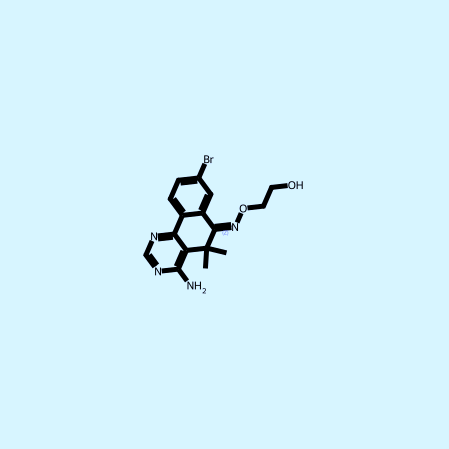 CC1(C)/C(=N/OCCO)c2cc(Br)ccc2-c2ncnc(N)c21